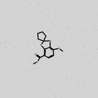 COC(=O)c1ccc(OC)c2c1OC1(CCCC1)O2